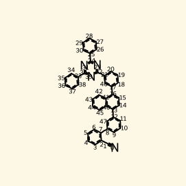 N#Cc1ccccc1-c1cccc(-c2ccc(-c3cccc(-c4nc(-c5ccccc5)nc(-c5ccccc5)n4)c3)c3ccccc23)c1